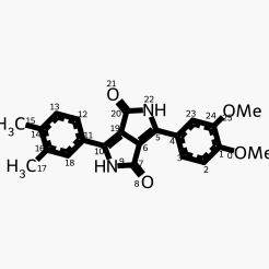 COc1ccc(C2=C3C(=O)NC(c4ccc(C)c(C)c4)=C3C(=O)N2)cc1OC